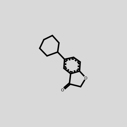 O=C1COc2ccc(C3CCCCC3)cc21